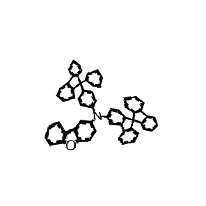 c1ccc(C2(c3ccc(N(c4ccc5c(c4)-c4ccccc4C54c5ccccc5-c5ccccc54)c4ccc5oc6ccccc6c5c4)cc3)c3ccccc3-c3ccccc32)cc1